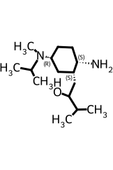 CC(C)C(O)C[C@@H]1C[C@H](N(C)C(C)C)CC[C@@H]1N